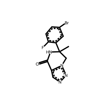 CC1(c2cc(Br)ccc2F)Cn2nncc2C(=O)N1